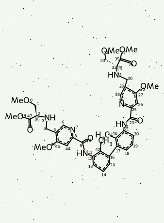 COC[C@@H](NCc1cnc(C(=O)Nc2cccc(-c3cccc(NC(=O)c4cc(OC)c(CN[C@H](COC)C(=O)OC)cn4)c3C)c2C)cc1OC)C(=O)OC